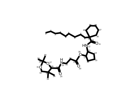 CCCCCCCCCC1(C(=O)NC2CCCC2OC(=O)CCNC(=O)C2OC(C)(C)OCC2(C)C)CCCCC1